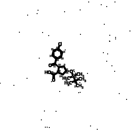 CC(C)(C)[Si](C)(C)O[C@H]1C[C@H](C(=O)c2ccc(Cl)cc2)N(C(=O)O)C1